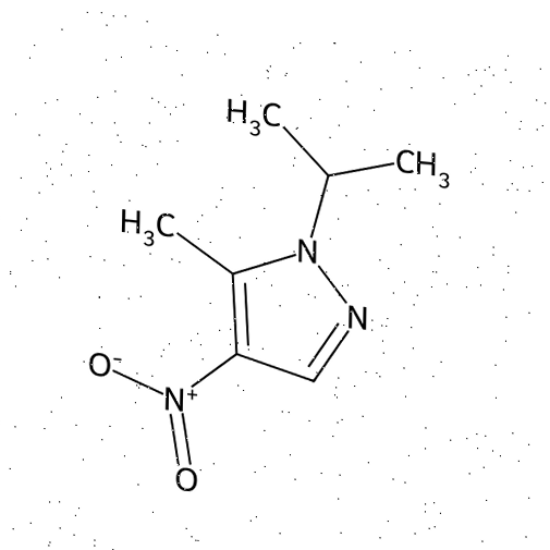 Cc1c([N+](=O)[O-])cnn1C(C)C